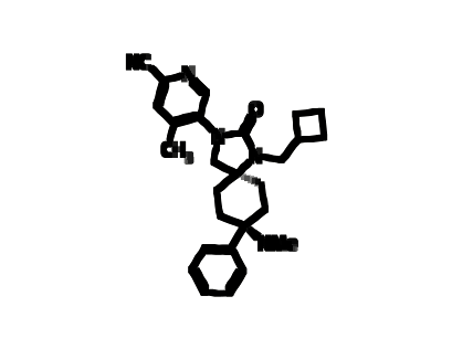 CN[C@]1(c2ccccc2)CC[C@]2(CC1)CN(c1cnc(C#N)cc1C)C(=O)N2CC1CCC1